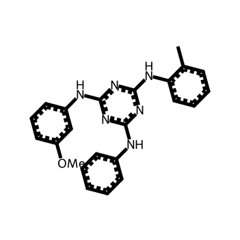 COc1cccc(Nc2nc(Nc3ccccc3)nc(Nc3ccccc3C)n2)c1